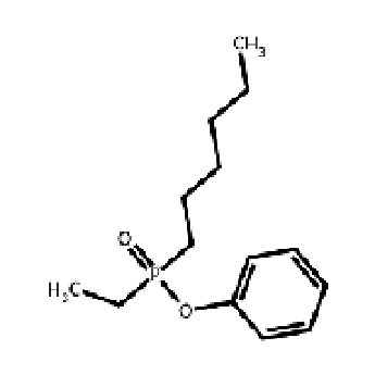 CCCCCCP(=O)(CC)Oc1ccccc1